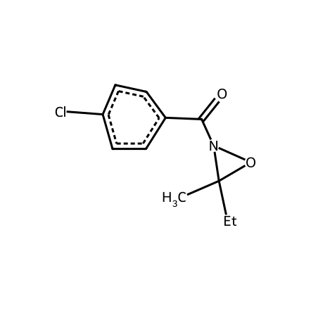 CCC1(C)ON1C(=O)c1ccc(Cl)cc1